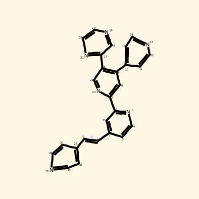 C(=C\c1ccnc(-c2cc(-c3ccncc3)c(-c3cnccn3)cn2)c1)/c1ccncc1